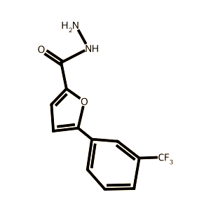 NNC(=O)c1ccc(-c2cccc(C(F)(F)F)c2)o1